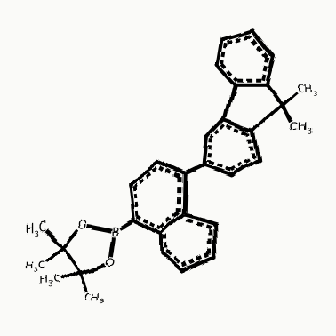 CC1(C)c2ccccc2-c2cc(-c3ccc(B4OC(C)(C)C(C)(C)O4)c4ccccc34)ccc21